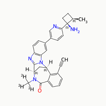 [2H]C([2H])([2H])N1C(=O)c2cccc(C#C)c2[C@H]2C[C@@H]1c1nc3ccc(-c4ccc([C@]5(N)CC[C@H]5C)nc4)cc3n12